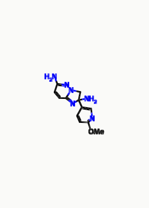 COc1ccc(C2(N)CN3N=C(N)C=CC3=N2)cn1